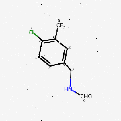 O=CNCc1ccc(Cl)c(C(F)(F)F)c1